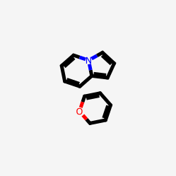 C1=CCOC=C1.c1ccn2cccc2c1